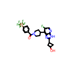 O=C(c1ccc(S(F)(F)(F)(F)F)cc1)N1CCC(c2c(F)cnc3[nH]c(C45CC(O)(C4)C5)nc23)CC1